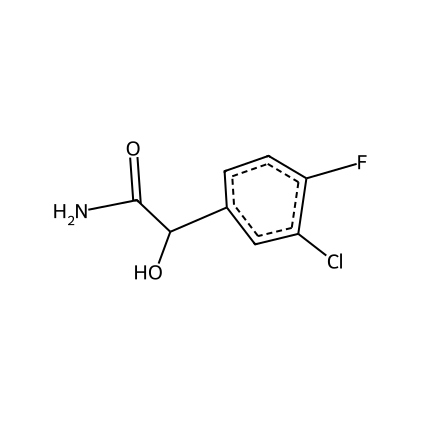 NC(=O)C(O)c1ccc(F)c(Cl)c1